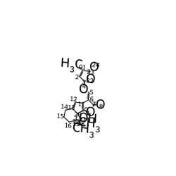 CC1=CC(O/C=C2/C(=O)OC3C2C=C2CCCC(C)(C)C23O)OC1=O